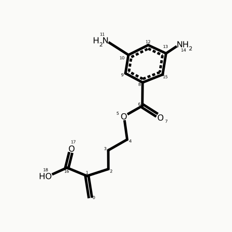 C=C(CCCOC(=O)c1cc(N)cc(N)c1)C(=O)O